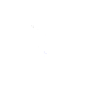 Cc1ccc([N+](=O)[O-])c(C(=O)Nc2ccc(Cl)cc2)c1